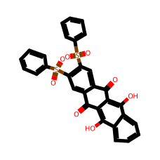 O=C1c2cc(S(=O)(=O)c3ccccc3)c(S(=O)(=O)c3ccccc3)cc2C(=O)c2c1c(O)c1ccccc1c2O